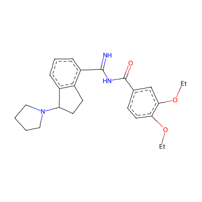 CCOc1ccc(C(=O)NC(=N)c2cccc3c2CCC3N2CCCC2)cc1OCC